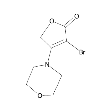 O=C1OCC(N2CCOCC2)=C1Br